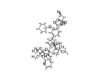 CC(C)(C)N(C[C@](CCc1cccnc1)(O[Si](C)(C)C(C)(C)C)c1ccc(-c2ccc(C(=O)NS(=O)(=O)CC#N)c(OC3CCCCC3)c2)cc1)C(=O)O